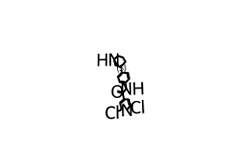 O=C(Nc1ccc([C@@H]2CCCNC2)cc1)c1cc(Cl)nc(Cl)c1